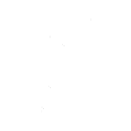 CN1C[C@@H](CCN2CCNCC2)Oc2ccc(F)cc21